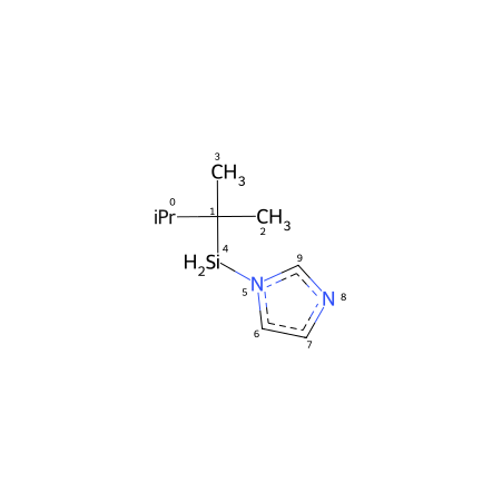 CC(C)C(C)(C)[SiH2]n1ccnc1